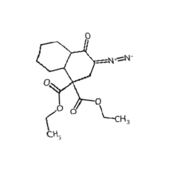 CCOC(=O)C1(C(=O)OCC)CC(=[N+]=[N-])C(=O)C2CCCCC21